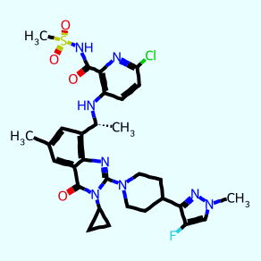 Cc1cc([C@@H](C)Nc2ccc(Cl)nc2C(=O)NS(C)(=O)=O)c2nc(N3CCC(c4nn(C)cc4F)CC3)n(C3CC3)c(=O)c2c1